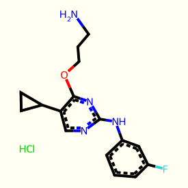 Cl.NCCCOc1nc(Nc2cccc(F)c2)ncc1C1CC1